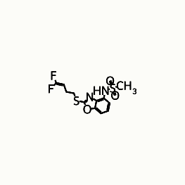 CS(=O)(=O)Nc1cccc2oc(SCCC=C(F)F)nc12